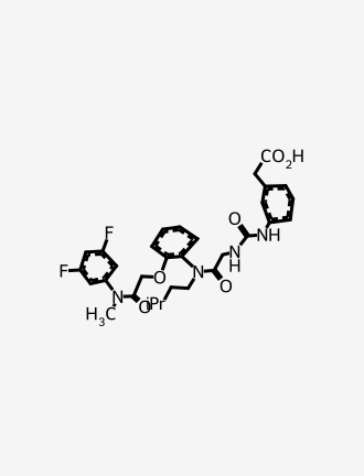 CC(C)CCN(C(=O)CNC(=O)Nc1cccc(CC(=O)O)c1)c1ccccc1OCC(=O)N(C)c1cc(F)cc(F)c1